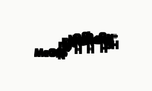 COCCn1nc(C)c(-c2ccc(-c3cnc(C(=O)Nc4ccc(C(=O)NC5C6CN(C(=O)N[C@@H]7C[N+](C)(C)C[C@H]7O)CC65)c(Cl)c4)n3C)c(F)c2F)c1C